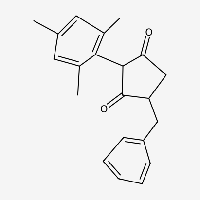 Cc1cc(C)c(C2C(=O)CC(Cc3ccccc3)C2=O)c(C)c1